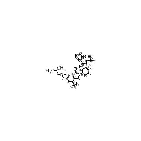 CC(C)CNCc1cc2c(c(C(F)(F)F)c1)CN(c1cccc(C3([C@@H](F)c4nncn4C)CC(F)(F)C3)c1)C2=O